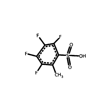 Cc1c(F)c(F)c(F)c(F)c1S(=O)(=O)O